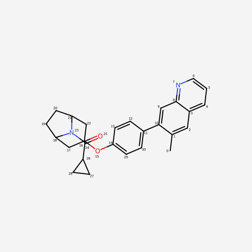 Cc1cc2cccnc2cc1-c1ccc(OC2CC3CCC(C2)N3C(=O)C2CC2)cc1